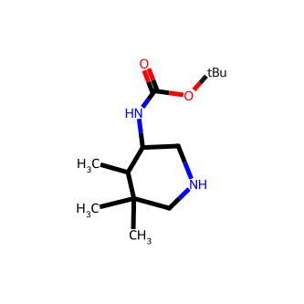 CC1C(NC(=O)OC(C)(C)C)CNCC1(C)C